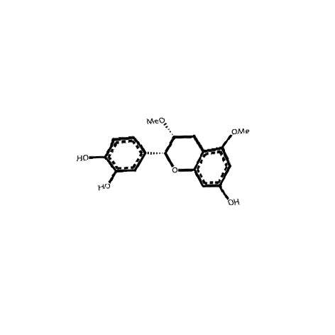 COc1cc(O)cc2c1C[C@@H](OC)[C@@H](c1ccc(O)c(O)c1)O2